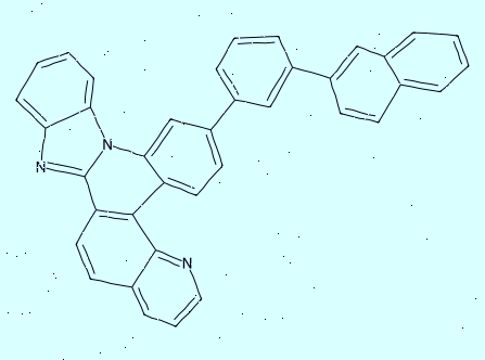 c1cc(-c2ccc3ccccc3c2)cc(-c2ccc3c4c(ccc5cccnc54)c4nc5ccccc5n4c3c2)c1